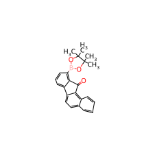 CC1(C)OB(c2cccc3c2C(=O)c2c-3ccc3ccccc23)OC1(C)C